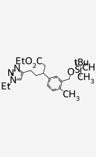 CCOC(=O)CC(CCc1cn(CC)nn1)c1ccc(C)c(CO[Si](C)(C)C(C)(C)C)c1